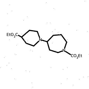 CCOC(=O)C1CCN(C2CCCN(C(=O)OCC)CC2)CC1